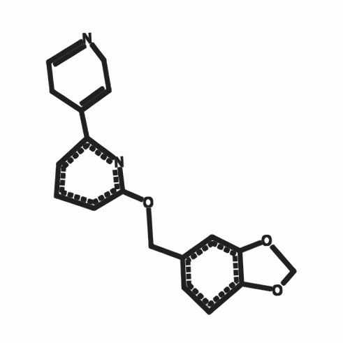 C1=NCC=C(c2cccc(OCc3ccc4c(c3)OCO4)n2)C1